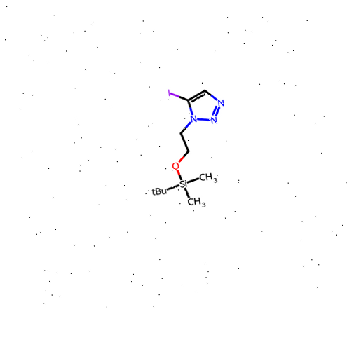 CC(C)(C)[Si](C)(C)OCCn1nncc1I